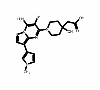 Cn1ccc(-c2cnn3c(N)c(Br)c(N4CCC(O)(CC(=O)O)CC4)nc23)c1